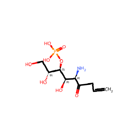 C=CCC(=O)[C@H](N)[C@@H](O)[C@H](OP(=O)(O)O)[C@H](O)CO